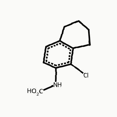 O=C(O)Nc1ccc2c(c1Cl)CCCC2